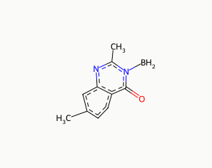 Bn1c(C)nc2cc(C)ccc2c1=O